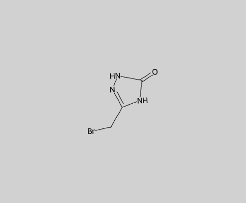 O=c1[nH]nc(CBr)[nH]1